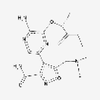 C=C(CC)[C@@H](C)Oc1nc(-c2c(C(N)=O)noc2CN(C)F)cnc1N